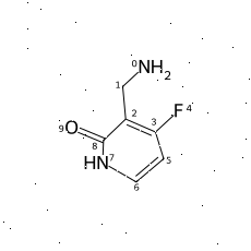 NCc1c(F)cc[nH]c1=O